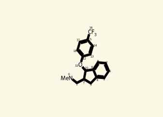 CNCC1Cc2ccccc2C1Oc1ccc(C(F)(F)F)cc1